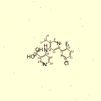 CC(C)c1cnc(-c2cc(Cl)ccc2F)cc1Nc1ccncc1C(O)O